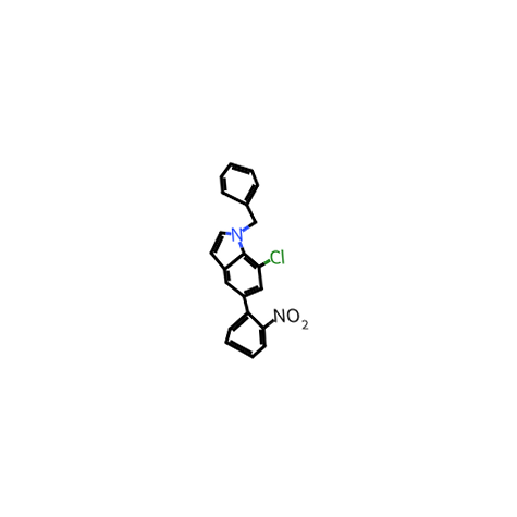 O=[N+]([O-])c1ccccc1-c1cc(Cl)c2c(ccn2Cc2ccccc2)c1